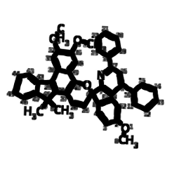 COc1ccc(C2(c3cc(-c4ccccc4)cc(-c4ccccc4)n3)C=Cc3c4c(c5cc(OC)c(OC)cc5c3O2)-c2ccccc2C4(C)C)cc1